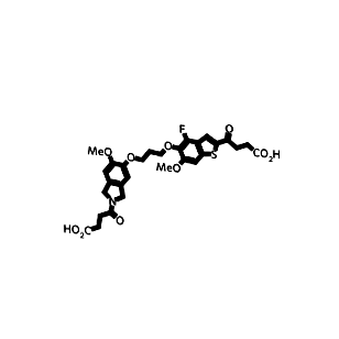 COc1cc2c(cc1OCCCOc1c(OC)cc3sc(C(=O)CCC(=O)O)cc3c1F)CN(C(=O)CCC(=O)O)C2